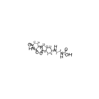 O=C(O)NCCNc1ccc2c(c1)CN(C1CCC(=O)NC1=O)C2=O